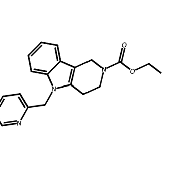 CCOC(=O)N1CCc2c(c3ccccc3n2Cc2ccccn2)C1